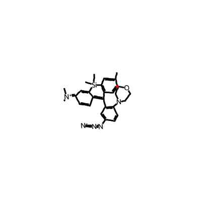 Cc1ccc2c(c1)[Si](C)(C)C1=CC(=[N+](C)C)C=CC1=C2c1cc(N=[N+]=[N-])ccc1N1CCOCC1